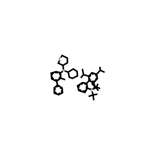 CC(C)c1cc(C(C)C)c(-c2ccccc2P(C(C)(C)C)C(C)(C)C)c(C(C)C)c1.Cc1c(-c2ccccc2)cccc1P(C1CCCCC1)C1CCCCC1